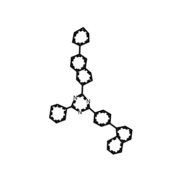 c1ccc(-c2ccc3cc(-c4nc(-c5ccccc5)nc(-c5ccc(-c6cccc7ccccc67)cc5)n4)ccc3c2)cc1